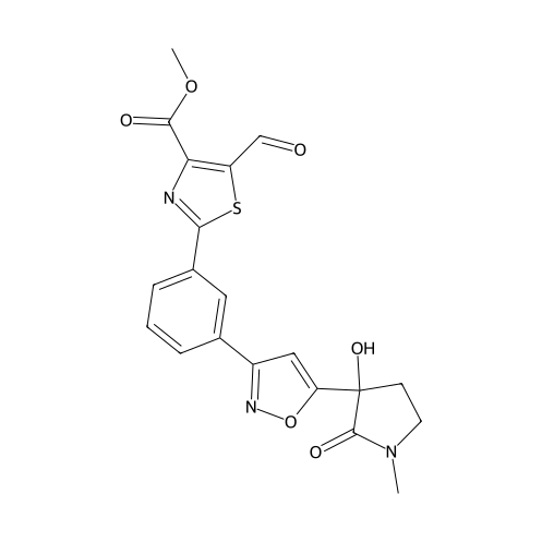 COC(=O)c1nc(-c2cccc(-c3cc(C4(O)CCN(C)C4=O)on3)c2)sc1C=O